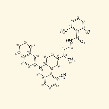 Cc1cccc(Cl)c1C(=O)NCCC(C)N1CCC(N(Cc2cccc(C#N)c2)c2ccc3c(c2)OCCO3)CC1